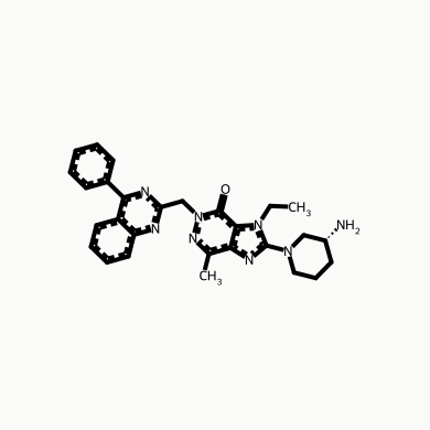 CCn1c(N2CCC[C@@H](N)C2)nc2c(C)nn(Cc3nc(-c4ccccc4)c4ccccc4n3)c(=O)c21